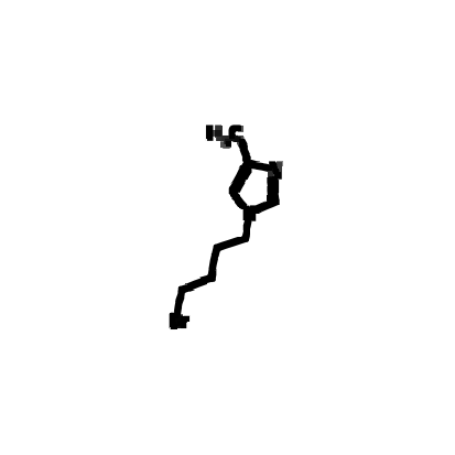 Cc1cn(CCCCBr)cn1